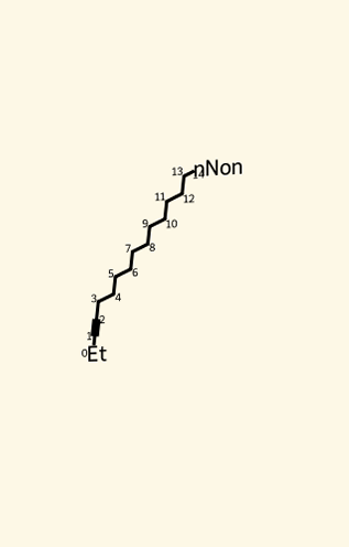 [CH2]CC#CCCCCCCCCCCCCCCCCCCC[CH2]